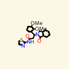 COc1cccc(C(CC(=O)Nc2nccs2)N2Cc3ccccc3C2=O)c1OC